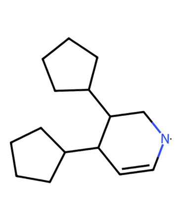 C1=CC(C2CCCC2)C(C2CCCC2)C[N]1